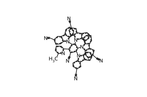 Cc1cccc(-c2c(C#N)c(-n3c4ccccc4c4cc(C#N)ccc43)c(-n3c4ccccc4c4cc(C#N)ccc43)c(-n3c4ccccc4c4cc(C#N)ccc43)c2-n2c3ccccc3c3cc(C#N)ccc32)n1